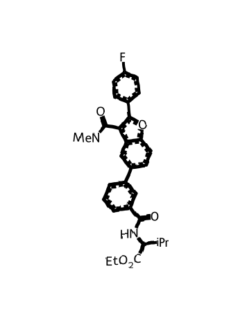 CCOC(=O)C(NC(=O)c1cccc(-c2ccc3oc(-c4ccc(F)cc4)c(C(=O)NC)c3c2)c1)C(C)C